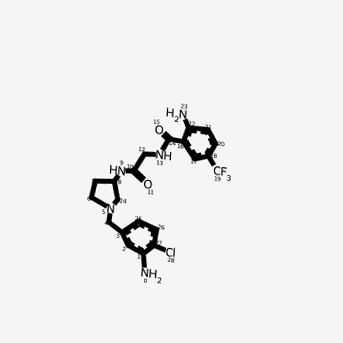 Nc1cc(CN2CCC(NC(=O)CNC(=O)c3cc(C(F)(F)F)ccc3N)C2)ccc1Cl